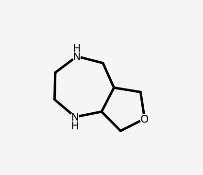 C1CNC2COCC2CN1